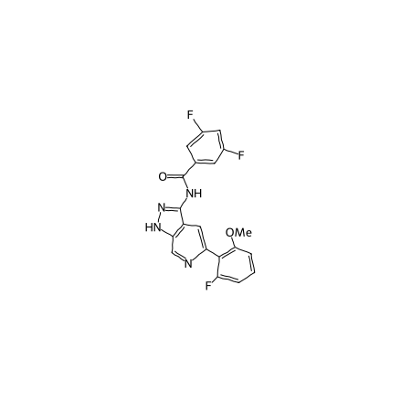 COc1cccc(F)c1-c1cc2c(NC(=O)c3cc(F)cc(F)c3)n[nH]c2cn1